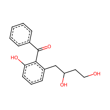 O=C(c1ccccc1)c1c(O)cccc1CC(O)CCO